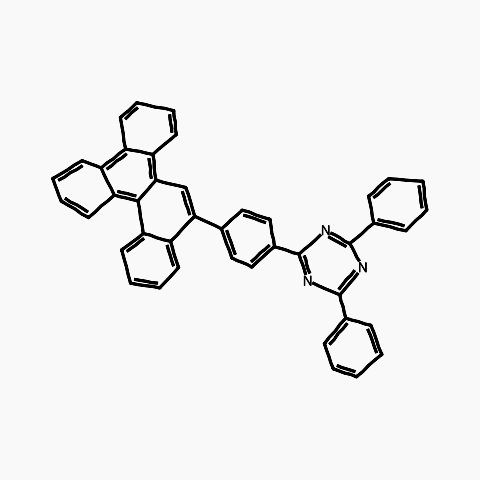 c1ccc(-c2nc(-c3ccccc3)nc(-c3ccc(-c4cc5c6ccccc6c6ccccc6c5c5ccccc45)cc3)n2)cc1